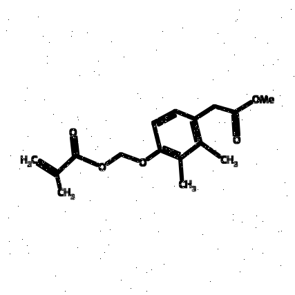 C=C(C)C(=O)OCOc1ccc(CC(=O)OC)c(C)c1C